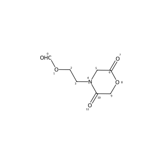 O=COCCN1CC(=O)OCC1=O